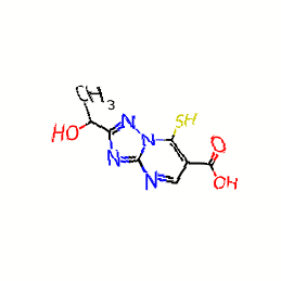 CC(O)c1nc2ncc(C(=O)O)c(S)n2n1